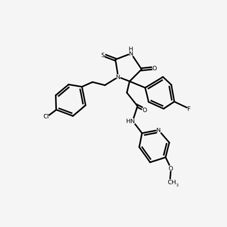 COc1ccc(NC(=O)CC2(c3ccc(F)cc3)C(=O)NC(=S)N2CCc2ccc(Cl)cc2)nc1